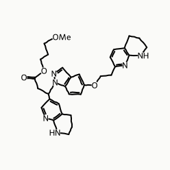 COCCCOC(=O)CC(c1cnc2c(c1)CCCN2)n1ncc2cc(OCCc3ccc4c(n3)NCCC4)ccc21